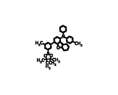 Cc1ccc(N(c2ccccc2)c2ccc(-c3cc(C)cc(B4OC(C)(C)C(C)(C)O4)c3)c3oc4ccccc4c23)cc1